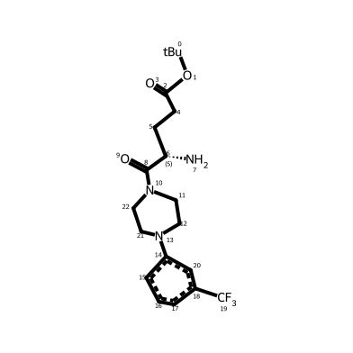 CC(C)(C)OC(=O)CC[C@H](N)C(=O)N1CCN(c2cccc(C(F)(F)F)c2)CC1